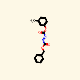 Cc1cccc(OC(=O)N=NC(=O)OCc2ccccc2)c1